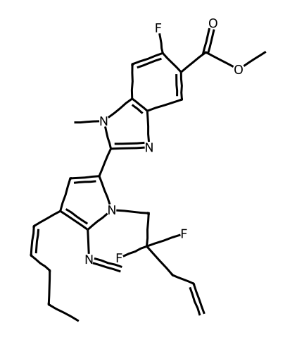 C=CCC(F)(F)Cn1c(-c2nc3cc(C(=O)OC)c(F)cc3n2C)cc(/C=C\CCC)c1N=C